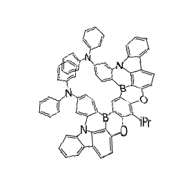 CC(C)c1c2c(cc3c1Oc1ccc4c5ccccc5n5c4c1B3c1ccc(N(c3ccccc3)c3ccccc3)cc1-5)B1c3ccc(N(c4ccccc4)c4ccccc4)cc3-n3c4ccccc4c4ccc(c1c43)O2